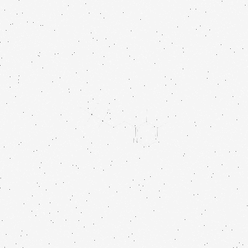 Cc1ncnc(CCC(F)(F)C(F)(F)F)c1C